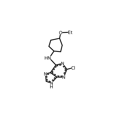 CCOC1CCC(Nc2nc(Cl)nc3[nH]cnc23)CC1